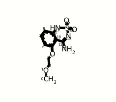 COCCOc1cccc2c1C(N)=NS(=O)(=O)N2